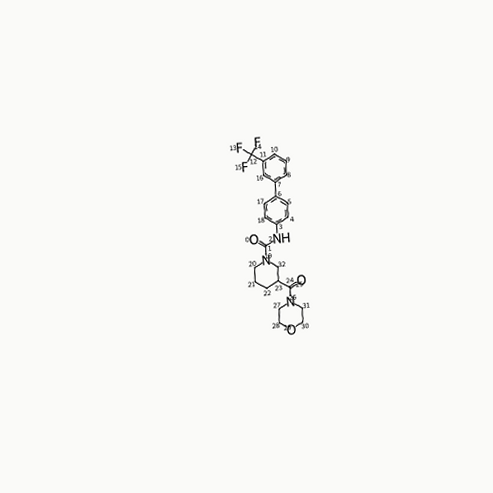 O=C(Nc1ccc(-c2cccc(C(F)(F)F)c2)cc1)N1CCCC(C(=O)N2CCOCC2)C1